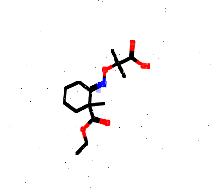 CCOC(=O)C1(C)CCCC/C1=N\OC(C)(C)C(=O)O